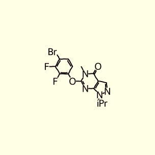 CC(C)n1ncc2c(=O)n(C)c(Oc3ccc(Br)c(F)c3F)nc21